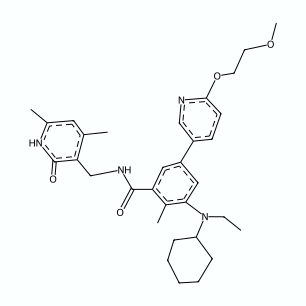 CCN(c1cc(-c2ccc(OCCOC)nc2)cc(C(=O)NCc2c(C)cc(C)[nH]c2=O)c1C)C1CCCCC1